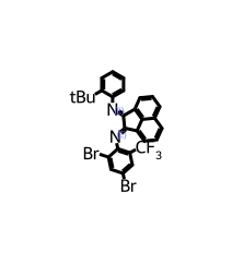 CC(C)(C)c1ccccc1/N=C1/C(=N/c2c(Br)cc(Br)cc2C(F)(F)F)c2cccc3cccc1c23